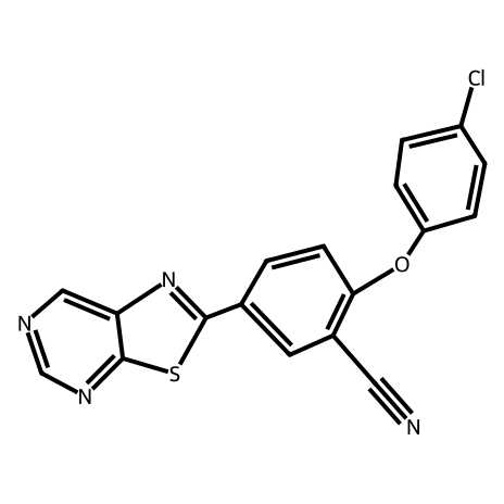 N#Cc1cc(-c2nc3cncnc3s2)ccc1Oc1ccc(Cl)cc1